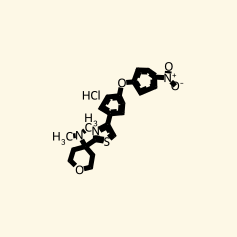 CN(C)C1(c2nc(-c3ccc(Oc4ccc([N+](=O)[O-])cc4)cc3)cs2)CCOCC1.Cl